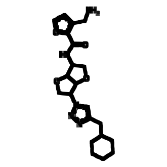 NCc1ccoc1C(=O)NC1COC2C1OCC2n1cc(CC2CCCCC2)nn1